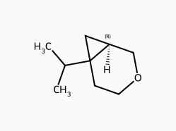 CC(C)C12CCOC[C@@H]1C2